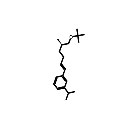 CC(C)c1cccc(/C=C/CC[C@@H](C)COC(C)(C)C)c1